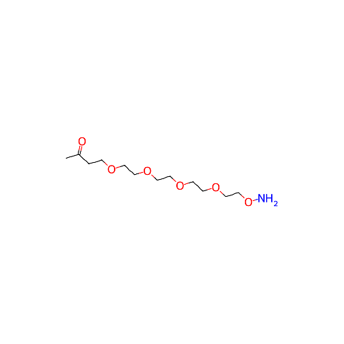 CC(=O)CCOCCOCCOCCOCCON